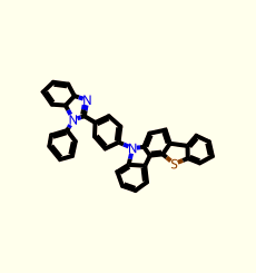 C1=CC2N=C(c3ccc(-n4c5ccccc5c5c6sc7ccccc7c6ccc54)cc3)N(c3ccccc3)C2C=C1